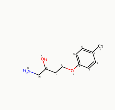 N#Cc1ccc(OCCC(O)CN)cc1